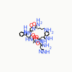 C[C@H](NC(=O)[C@@H](Cc1c[nH]c2ccccc12)NC(=O)[C@@H](N)Cc1c[nH]cn1)C(=O)N[C@@H](Cc1c[nH]c2ccccc12)C(=O)N[C@@H]1CC(=O)N([C@@H](CCCCN)C(N)=O)C1